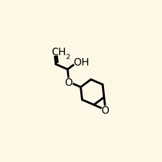 C=CC(O)OC1CCC2OC2C1